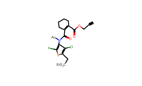 C#CCOC(=O)C1=C(C(=O)N(C(C)=O)c2c(F)sc(CC(=O)OCC)c2Cl)CCCC1